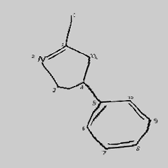 CC1=NCC(c2ccccc2)C1